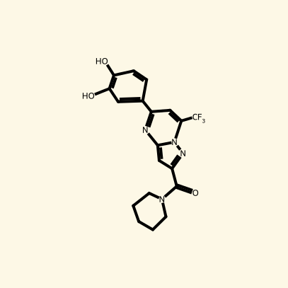 O=C(c1cc2nc(-c3ccc(O)c(O)c3)cc(C(F)(F)F)n2n1)N1CCCCC1